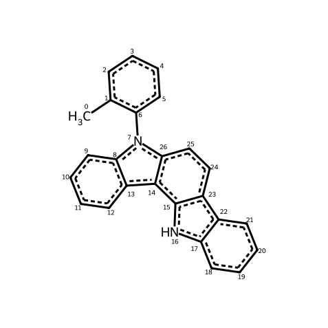 Cc1ccccc1-n1c2ccccc2c2c3[nH]c4ccccc4c3ccc21